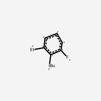 CCc1cccc(F)c1C(C)(C)C